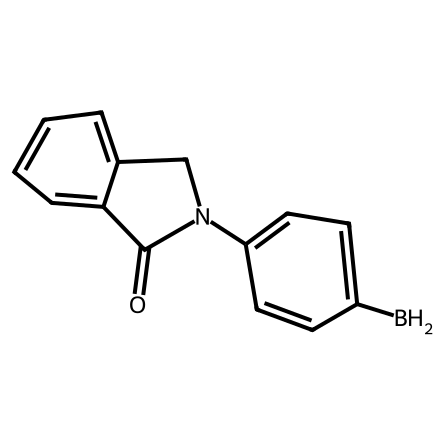 Bc1ccc(N2Cc3ccccc3C2=O)cc1